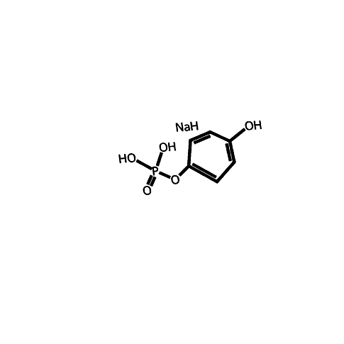 O=P(O)(O)Oc1ccc(O)cc1.[NaH]